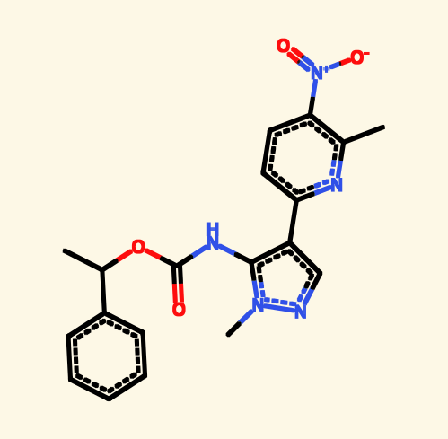 Cc1nc(-c2cnn(C)c2NC(=O)OC(C)c2ccccc2)ccc1[N+](=O)[O-]